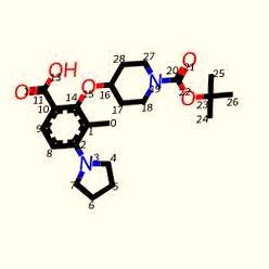 Cc1c(N2CCCC2)ccc(C(=O)O)c1OC1CCN(C(=O)OC(C)(C)C)CC1